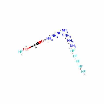 F.F.F.F.F.F.N.N.N.N.N.N.N.[O]=[Al][OH]